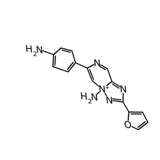 Nc1ccc(C2=C[N+]3(N)N=C(c4ccco4)N=C3C=N2)cc1